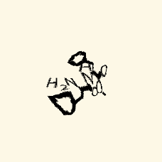 COC(=O)[C@H](Cc1ccccc1)NC(=O)[C@H](N)Cc1ccccc1